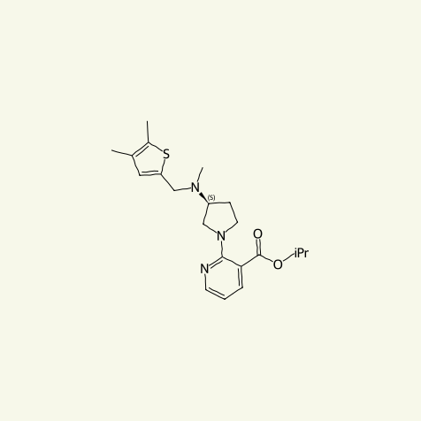 Cc1cc(CN(C)[C@H]2CCN(c3ncccc3C(=O)OC(C)C)C2)sc1C